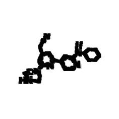 N#CCc1cc(-c2ccnc(NC3CCCCC3)c2)nc(N2CCNCC2)c1